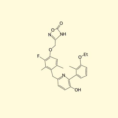 CCOc1cccc(-c2nc(Cc3c(C)cc(OCc4noc(=O)[nH]4)c(F)c3C)ccc2O)c1C